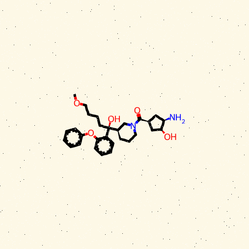 COCCCC[C@@](O)(c1ccccc1Oc1ccccc1)[C@@H]1CCCN(C(=O)[C@H]2C[C@@H](N)[C@@H](O)C2)C1